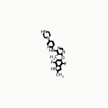 Cc1cc2c(F)c(Oc3ncnc(Nc4ccc(N5CCNCC5)cn4)c3C)cc(F)c2[nH]1